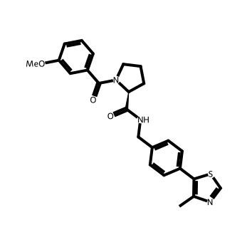 COc1cccc(C(=O)N2CCC[C@H]2C(=O)NCc2ccc(-c3scnc3C)cc2)c1